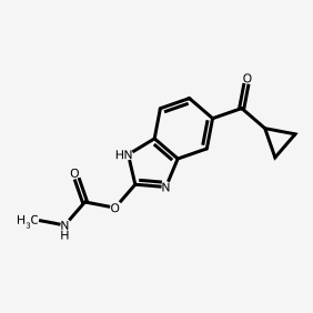 CNC(=O)Oc1nc2cc(C(=O)C3CC3)ccc2[nH]1